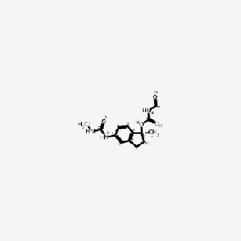 CNC(=O)Nc1ccc2c(c1)CC[C@]2(C)OC(=O)NC=O